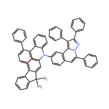 CC1(C)c2ccccc2-c2ccc(N(c3ccc4cc(-c5ccccc5)n5nc(-c6ccccc6)c(-c6ccccc6)c5c4c3)c3ccccc3-c3ccccc3-c3ccccc3)cc21